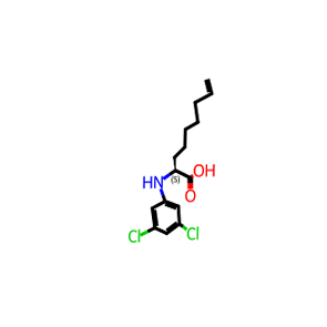 C=CCCCCC[C@H](Nc1cc(Cl)cc(Cl)c1)C(=O)O